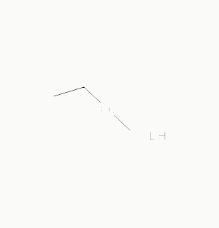 C[CH2][Cu][CH3].[LiH]